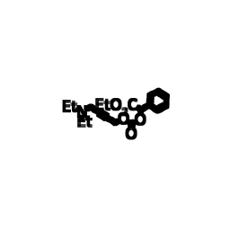 CCOC(=O)C(OC(=O)OCC#CCN(CC)CC)c1ccccc1